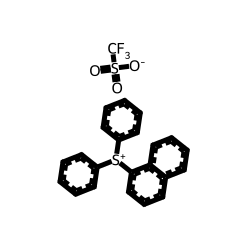 O=S(=O)([O-])C(F)(F)F.c1ccc([S+](c2ccccc2)c2cccc3ccccc23)cc1